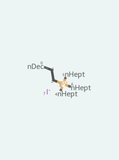 CCCCCCCCCCCC[P+](CCCCCCC)(CCCCCCC)CCCCCCC.[I-]